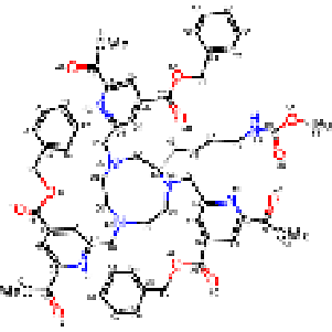 COC(=O)c1cc(C(=O)OCc2ccccc2)cc(CN2CCN(Cc3cc(C(=O)OCc4ccccc4)cc(C(=O)OC)n3)C[C@H](CCCCNC(=O)OC(C)(C)C)N(Cc3cc(C(=O)OCc4ccccc4)cc(C(=O)OC)n3)CC2)n1